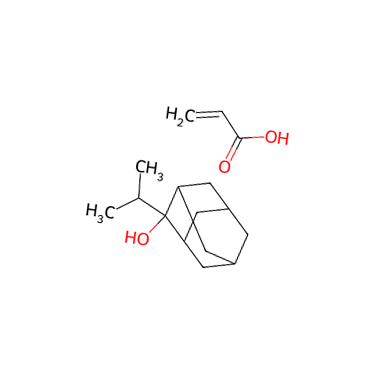 C=CC(=O)O.CC(C)C1(O)C2CC3CC(C2)CC1C3